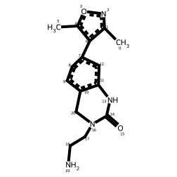 Cc1noc(C)c1-c1ccc2c(c1)NC(=O)N(CCN)C2